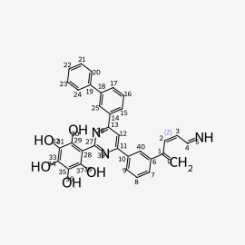 C=C(/C=C\C=N)c1cccc(-c2cc(-c3cccc(-c4ccccc4)c3)nc(-c3c(O)c(O)c(O)c(O)c3O)n2)c1